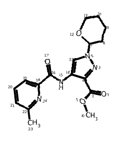 COC(=O)c1nn(C2CCCCO2)cc1NC(=O)c1cccc(C)n1